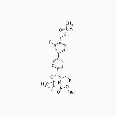 CC(C)(C)OC(=O)N1C(CF)C(c2ccc(-c3cnc(CNS(C)(=O)=O)c(F)c3)cc2)OC1(C)C